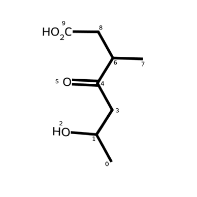 CC(O)CC(=O)C(C)CC(=O)O